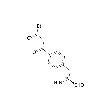 CCC(=O)CC(=O)c1ccc(C[C@H](N)C=O)cc1